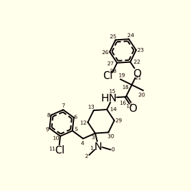 CN(C)C1(Cc2ccccc2Cl)CCC(NC(=O)C(C)(C)Oc2ccccc2Cl)CC1